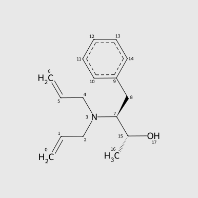 C=CCN(CC=C)[C@@H](Cc1ccccc1)[C@@H](C)O